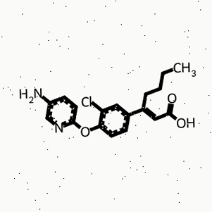 CCCC/C(=C\C(=O)O)c1ccc(Oc2ccc(N)cn2)c(Cl)c1